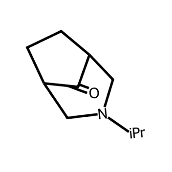 CC(C)N1CC2CCC(C1)C2=O